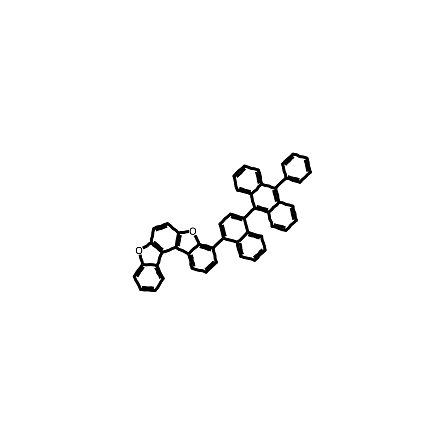 c1ccc(-c2c3ccccc3c(-c3ccc(-c4cccc5c4oc4ccc6oc7ccccc7c6c45)c4ccccc34)c3ccccc23)cc1